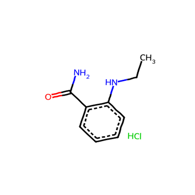 CCNc1ccccc1C(N)=O.Cl